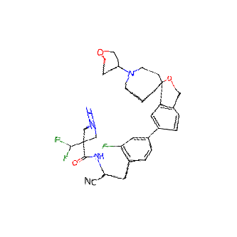 N#CC(Cc1ccc(-c2ccc3c(c2)C2(CCN(C4COC4)CC2)OC3)cc1F)NC(=O)C1(C(F)F)CNC1